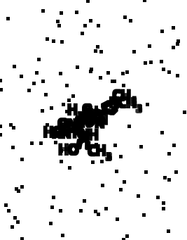 CCC[C@@H](CCO)Nc1nc(NC(=O)O)nc2cnn(Cc3nnc(C4CCN(C(C)C)CC4)cc3OC)c12